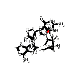 Nc1nc2c(ncn2[C@@H]2C[C@]34COP(=O)(O)O[C@H]5[C@H]6OC[C@]5(CO[P@](=O)(S)O[C@@H]2[C@@H]3C4)O[C@H]6n2cnc3c(N)ncnc32)c(=O)[nH]1